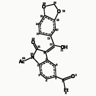 CCC(=O)c1ccc2c(c1)C(=C(O)c1ccc3c(c1)OCO3)C(=O)N2C(C)=O